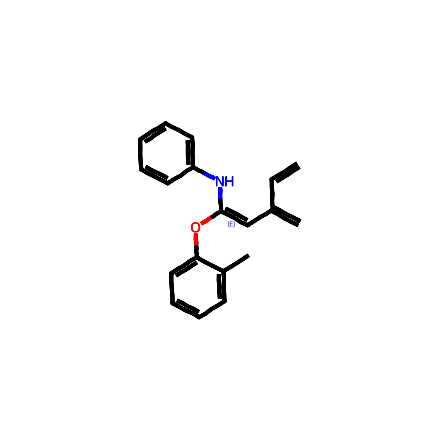 C=CC(=C)/C=C(\Nc1ccccc1)Oc1ccccc1C